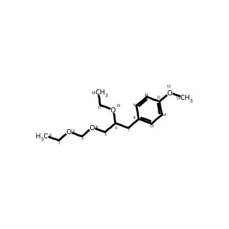 CCOCOCC(Cc1ccc(OC)cc1)OCC